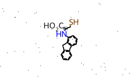 O=C(O)[C@@H](CS)Nc1cccc2c1Cc1ccccc1-2